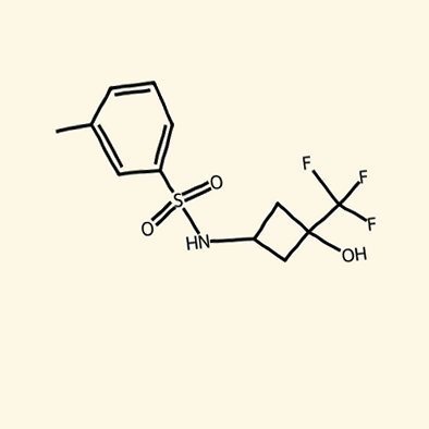 Cc1cccc(S(=O)(=O)NC2CC(O)(C(F)(F)F)C2)c1